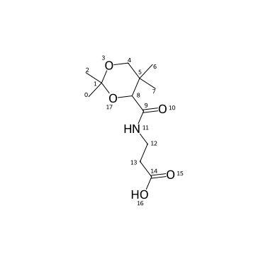 CC1(C)OCC(C)(C)C(C(=O)NCCC(=O)O)O1